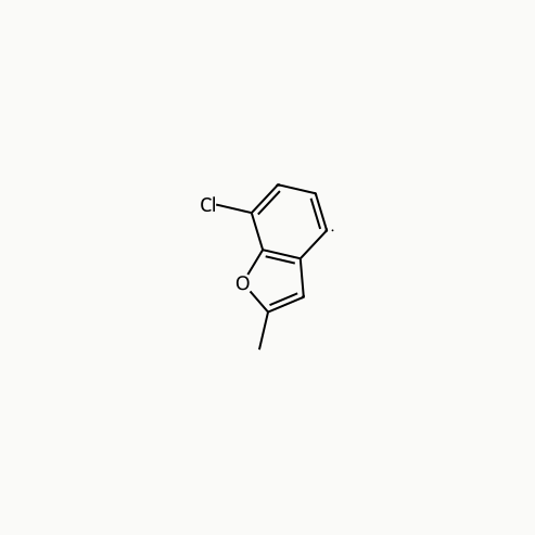 Cc1cc2[c]ccc(Cl)c2o1